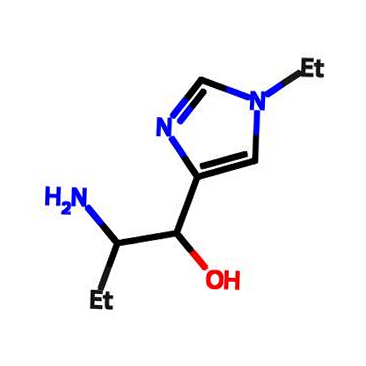 CCC(N)C(O)c1cn(CC)cn1